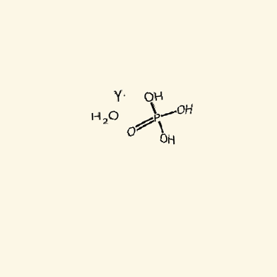 O.O=P(O)(O)O.[Y]